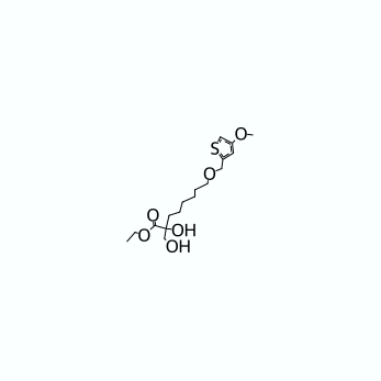 CCOC(=O)C(O)(CO)CCCCCCOCc1cc(OC)cs1